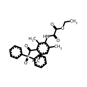 CCOC(=O)C(=O)Nc1c(C)cc(C)c(C(=O)P(=O)(c2ccccc2)c2ccccc2)c1C